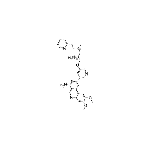 COc1cc2ncc3c(N)nc(-c4cncc(OC[C@@H](N)CN(C)CCc5ccccn5)c4)cc3c2cc1OC